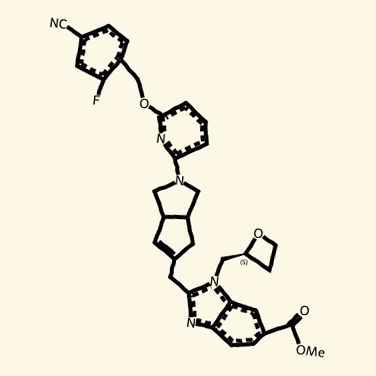 COC(=O)c1ccc2nc(CC3=CC4CN(c5cccc(OCc6ccc(C#N)cc6F)n5)CC4C3)n(C[C@@H]3CCO3)c2c1